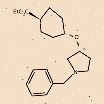 CCOC(=O)[C@H]1CC[C@H](O[C@@H]2CCN(Cc3ccccc3)C2)CC1